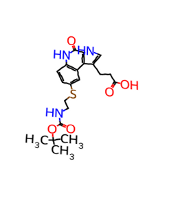 CC(C)(C)OC(=O)NCCSc1ccc2[nH]c(=O)c3[nH]cc(CCC(=O)O)c3c2c1